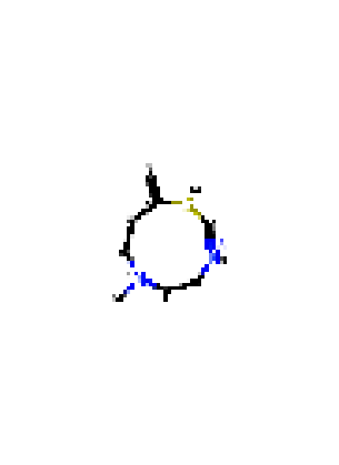 C=C1CCN(C)CC/N=C\S1